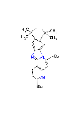 CC(C)(C)c1ccc2c(cc(C(C)(C)C)n3c4cc5c(cc4nc23)C(C)(C)CCC5(C)C)n1